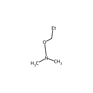 [CH2]CCON(C)C